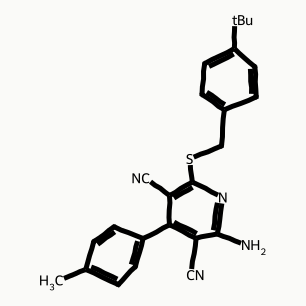 Cc1ccc(-c2c(C#N)c(N)nc(SCc3ccc(C(C)(C)C)cc3)c2C#N)cc1